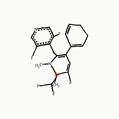 CC/C(F)=C\C(C1=CCCC=C1)=C(\c1c(F)cncc1F)N(C)CC(F)F